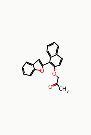 CC(=O)COc1ccc2ccccc2c1-c1cc2ccccc2o1